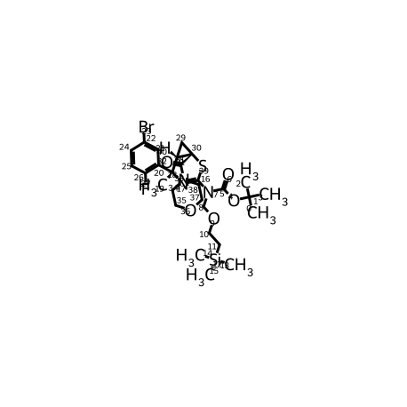 CC(C)(C)OC(=O)N(COCC[Si](C)(C)C)C1=N[C@](C)(c2cc(Br)ccc2F)[C@@H]2C[C@]2(C(=O)N2CCOCC2)S1